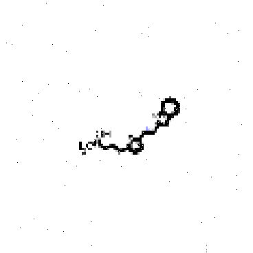 CN(O)CCCc1ccc(/C=C/c2cc3ccccc3s2)s1